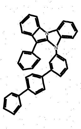 c1ccc(-c2ccc(-c3cccc(-n4c5ccccc5n5c6ccccc6c(-c6ccccc6)c45)c3)cc2)cc1